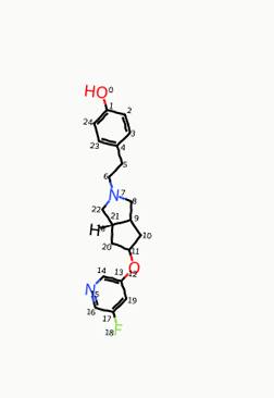 Oc1ccc(CCN2CC3CC(Oc4cncc(F)c4)C[C@@H]3C2)cc1